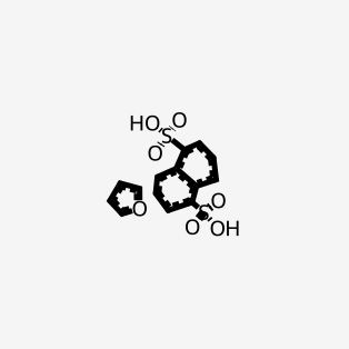 O=S(=O)(O)c1cccc2c(S(=O)(=O)O)cccc12.c1ccoc1